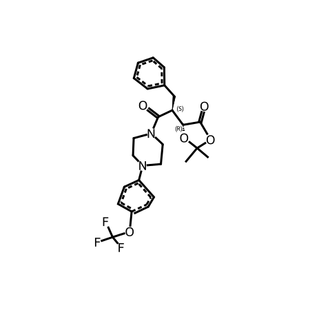 CC1(C)OC(=O)[C@@H]([C@H](Cc2ccccc2)C(=O)N2CCN(c3ccc(OC(F)(F)F)cc3)CC2)O1